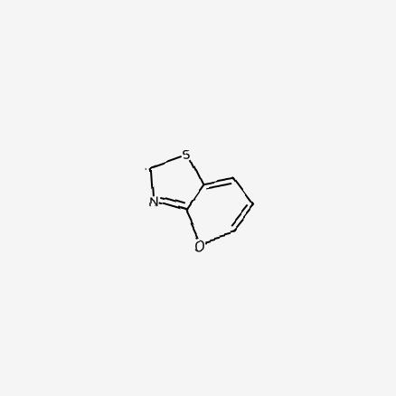 [CH]1N=C2OC=CC=C2S1